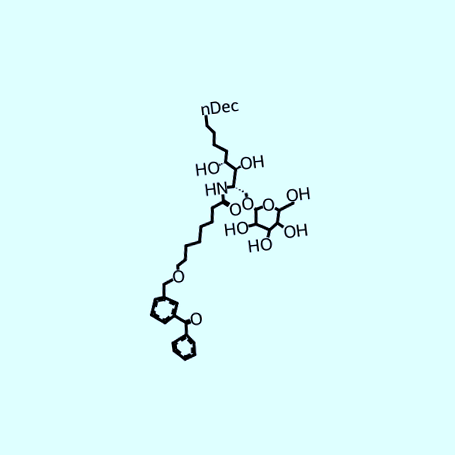 CCCCCCCCCCCCCC[C@@H](O)[C@@H](O)[C@H](COC1OC(CO)C(O)C(O)C1O)NC(=O)CCCCCCCOCc1cccc(C(=O)c2ccccc2)c1